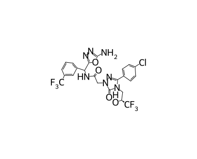 Nc1nnc(C(NC(=O)Cn2nc(-c3ccc(Cl)cc3)n(C[C@H](O)C(F)(F)F)c2=O)c2cccc(C(F)(F)F)c2)o1